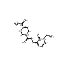 NCn1nccc(CSC(=S)N2CCN(C(=O)P)CC2)c1=O